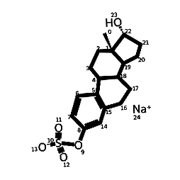 C[C@]12CCC3c4ccc(OS(=O)(=O)[O-])cc4CCC3C1CC[C@H]2O.[Na+]